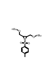 CCCCOCC1C(COCCCC)N1S(=O)(=O)c1ccc(C)cc1